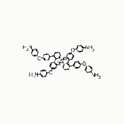 Nc1ccc(Oc2ccc(-c3cccc(S(=O)(=O)c4cccc(-c5ccc(Oc6ccc(N)cc6)cc5)c4-c4ccc(Oc5ccc(N)cc5)cc4)c3-c3ccc(Oc4ccc(N)cc4)cc3)cc2)cc1